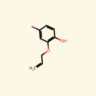 C=CCOc1cc(I)ccc1O